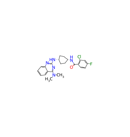 CN(C)c1nc(N[C@H]2CC[C@@H](NC(=O)c3ccc(F)cc3Cl)CC2)nc2ccccc12